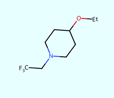 CCOC1CCN(CC(F)(F)F)CC1